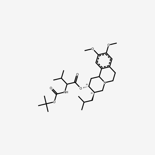 COc1cc2c(cc1OC)C1C[C@@H](OC(=O)C(NC(=O)OC(C)(C)C)C(C)C)[C@H](CC(C)C)CN1CC2